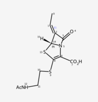 C/C=C1\C(=O)N2C(C(=O)O)=C(SCCNC(C)=O)S[C@H]12